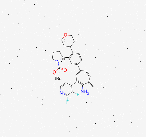 C=C1C=CC(c2ccc(C3CCOCC3)c([C@@H]3CCCN3C(=O)OC(C)(C)C)c2)=CC(c2ccnc(F)c2F)=C1N